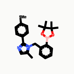 CSc1ccc(-c2ncc(C)n2Cc2ccccc2B2OC(C)(C)C(C)(C)O2)cc1